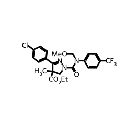 CCOC(=O)C1(C)CN(C(=O)N(COC)c2ccc(C(F)(F)F)cc2)N=C1c1ccc(Cl)cc1